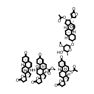 CC(=O)S[C@@H]1CC2=CC(=O)CC[C@]2(C)[C@H]2CC[C@@]3(C)[C@@H](CC[C@@]34CCC(=O)O4)[C@H]12.COC(=O)[C@@H]1CC2=CC(=O)CC[C@]2(C)[C@@]23O[C@@H]2C[C@@]2(C)[C@@H](CC[C@@]24CCC(=O)O4)[C@H]13.CO[C@H]1C[C@H](O[C@H]2CC[C@@]3(C)[C@H](CC[C@@H]4[C@@H]3CC[C@]3(C)[C@@H](C5=CC(=O)OC5)[C@@H](OC(C)=O)C[C@]43O)C2)O[C@@H](C)[C@@H]1O.C[C@]12CCC(=O)C=C1C=C[C@@H]1[C@@H]2CC[C@@]2(C)[C@H]1CC[C@@]21CCC(=O)O1